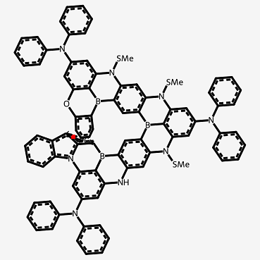 CSN1c2cc3c(cc2B2c4ccccc4Oc4cc(N(c5ccccc5)c5ccccc5)cc1c42)B1c2cc4c(cc2N(SC)c2cc(N(c5ccccc5)c5ccccc5)cc(c21)N3SC)Nc1cc(N(c2ccccc2)c2ccccc2)cc2c1B4c1cccc3c4ccccc4n-2c13